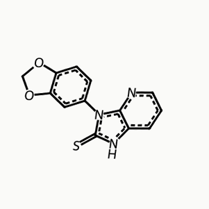 S=c1[nH]c2cccnc2n1-c1ccc2c(c1)OCO2